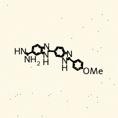 COc1ccc(-c2nc3ccc(-c4nc5ccc(C(=N)N)cc5[nH]4)cc3[nH]2)cc1